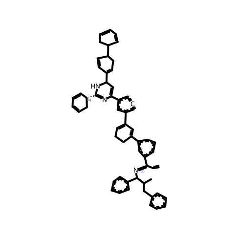 C=C/C(=N\C(c1ccccc1)C(C)Cc1ccccc1)c1cccc(C2=CC(c3cccc(C4=CC(C5=CCC(C6C=CC=CC6)C=C5)NC([C@H]5C=CC=CC5)=N4)c3)=CCC2)c1